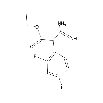 CCOC(=O)C(C(=N)N)c1ccc(F)cc1F